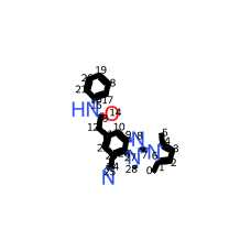 Cc1ccc(C)n1-c1nc2cc(CC(=O)Nc3ccccc3)cc(C#N)c2n1C